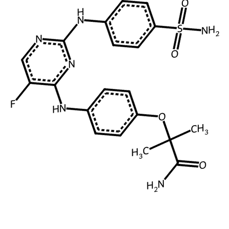 CC(C)(Oc1ccc(Nc2nc(Nc3ccc(S(N)(=O)=O)cc3)ncc2F)cc1)C(N)=O